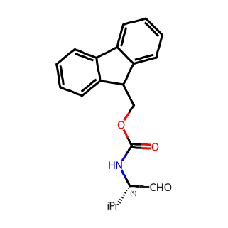 CC(C)[C@@H](C=O)NC(=O)OCC1c2ccccc2-c2ccccc21